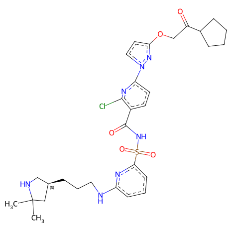 CC1(C)C[C@H](CCCNc2cccc(S(=O)(=O)NC(=O)c3ccc(-n4ccc(OCC(=O)C5CCCC5)n4)nc3Cl)n2)CN1